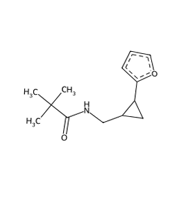 CC(C)(C)C(=O)NCC1CC1c1ccco1